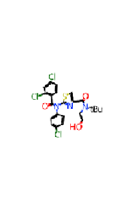 CC(C)(C)N(CCO)C(=O)c1csc(N(C(=O)c2ccc(Cl)cc2Cl)c2ccc(Cl)cc2)n1